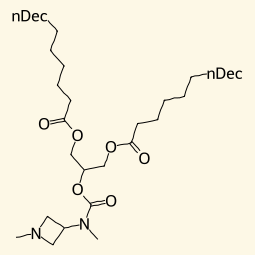 CCCCCCCCCCCCCCCC(=O)OCC(COC(=O)CCCCCCCCCCCCCCC)OC(=O)N(C)C1CN(C)C1